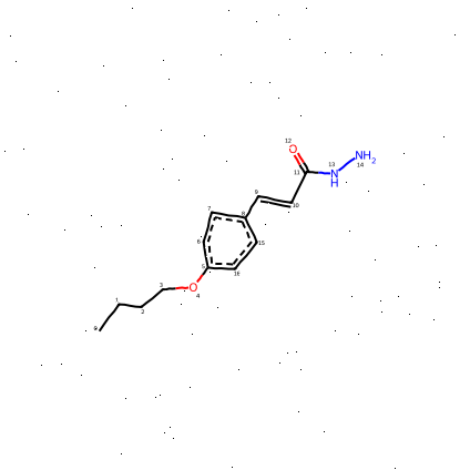 CCCCOc1ccc(C=CC(=O)NN)cc1